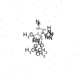 CC(C)CC(CNC(=O)OC(C)(C)C)C(CCC#N)c1nnn[nH]1